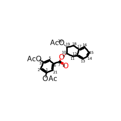 CC(=O)Oc1cc(OC(C)=O)cc(C(=O)O[C@H]2Cc3ccccc3C[C@H]2OC(C)=O)c1